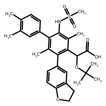 Cc1ccc(-c2c(C)c(-c3ccc4c(c3)CCO4)c(C(OC(C)(C)C)C(=O)O)c(C)c2NS(C)(=O)=O)cc1C